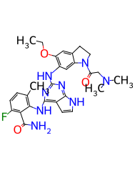 CCOc1cc2c(cc1Nc1nc(Nc3c(C)ccc(F)c3C(N)=O)c3cc[nH]c3n1)N(C(=O)CN(C)C)CC2